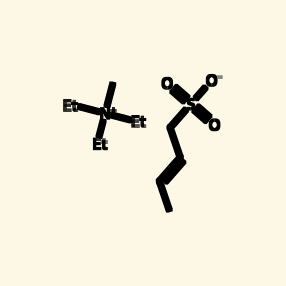 C/C=C/CS(=O)(=O)[O-].CC[N+](C)(CC)CC